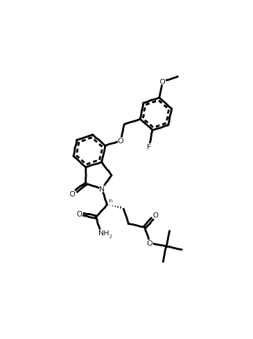 COc1ccc(F)c(COc2cccc3c2CN([C@H](CCC(=O)OC(C)(C)C)C(N)=O)C3=O)c1